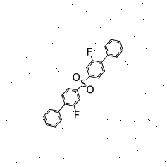 O=S(=O)(c1ccc(-c2ccccc2)c(F)c1)c1ccc(-c2ccccc2)c(F)c1